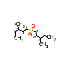 CCC(C)CCS(=O)(=O)CCC(C)CC